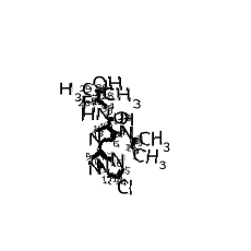 CC[C@H](C)Nc1cc(-c2cnn3cc(Cl)cnc23)ncc1C(=O)NC[C@@H](F)C(C)(C)O